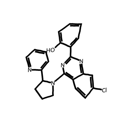 Oc1ccccc1-c1nc(N2CCCC2c2ccccn2)c2ccc(Cl)cc2n1